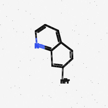 CCCc1ccc2cccnc2c1